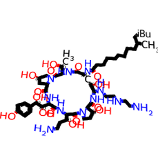 CCC(C)CC(C)CCCCCCCCC(=O)N[C@H]1C[C@@H](O)C(NCCNCCN)NC(=O)C2[C@@H](O)CCN2C(=O)C([C@H](O)CCN)NC(=O)C([C@H](O)[C@@H](O)c2ccc(O)cc2)NC(=O)C2C[C@@H](O)CN2C(=O)C([C@@H](C)O)NC1=O